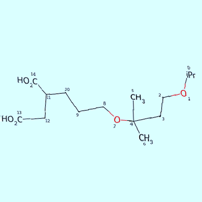 CC(C)OCCC(C)(C)OCCCC(CC(=O)O)C(=O)O